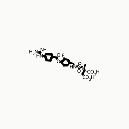 CN([C@@H](CC(=O)O)C(=O)O)S(=O)(=O)NCc1ccc(OC(=O)c2ccc(NC(=N)N)cc2)c(F)c1